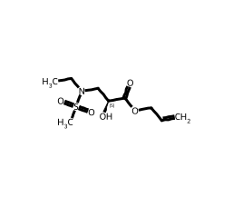 C=CCOC(=O)[C@@H](O)CN(CC)S(C)(=O)=O